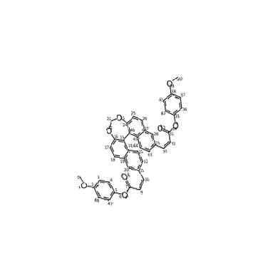 COc1ccc(OC(=O)/C=C\c2ccc3c4c(ccc3c2)OCOc2ccc3cc(/C=C\C(=O)Oc5ccc(OC)cc5)ccc3c2-4)cc1